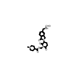 CN1CCC(C(=O)OCN2C(=O)CCC(N3Cc4cc(CNC=O)ccc4C3=O)C2=O)CC1